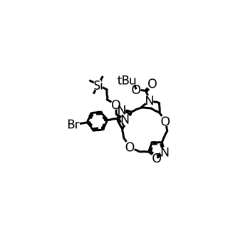 CC(C)(C)OC(=O)N1CC2CC1c1nc(-c3ccc(Br)cc3)c(n1COCC[Si](C)(C)C)COCc1cc(no1)CO2